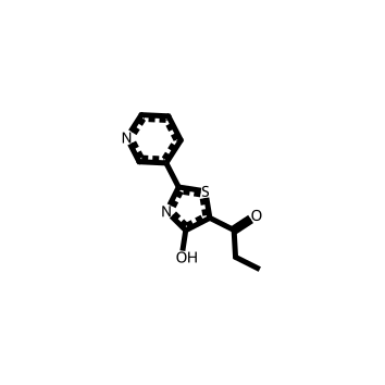 CCC(=O)c1sc(-c2cccnc2)nc1O